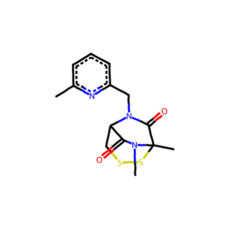 Cc1cccc(CN2C(=O)C3(C)SSCC2C(=O)N3C)n1